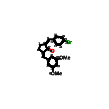 COc1cc(C=C2CCC(=Cc3ccc(Br)cc3)C2=O)cc(OC)c1